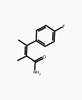 CC(C(N)=O)=C(C)c1ccc(F)cc1